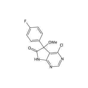 COC1(c2ccc(F)cc2)C(=O)Nc2ncnc(Cl)c21